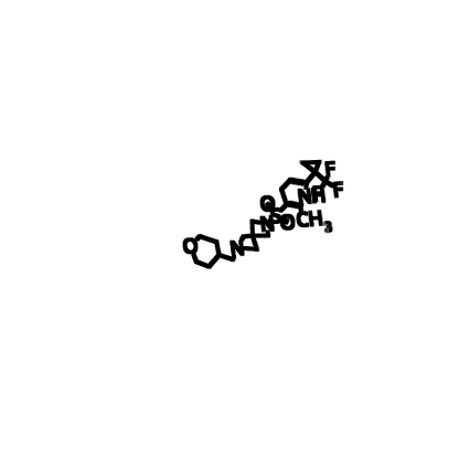 CC1=C(S(=O)(=O)N2CC3(CN(CC4CCOCC4)C3)C2)CC=C(C2(C(F)(F)F)CC2)N1